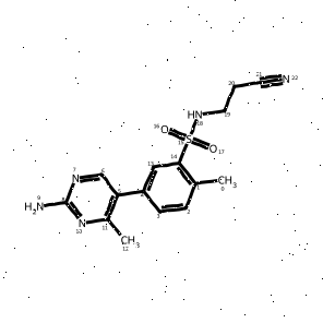 Cc1ccc(-c2cnc(N)nc2C)cc1S(=O)(=O)NCCC#N